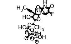 CC#CC1(N)C(O)[C@@H](C(C)OP(=O)(O)OP(=O)(O)OP(=O)(O)O)O[C@H]1n1cc(F)c(=O)[nH]c1=O